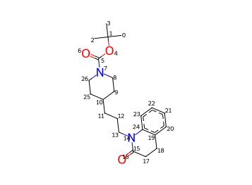 CC(C)(C)OC(=O)N1CCC(CCCN2C(=O)CCc3ccccc32)CC1